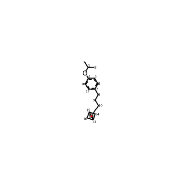 CC(C)Oc1ccc(CCCN2C=C3CC2C3)cc1